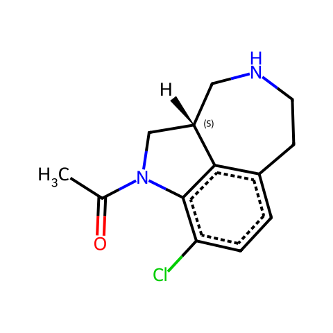 CC(=O)N1C[C@@H]2CNCCc3ccc(Cl)c1c32